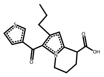 CCCc1cc2n(c1C(=O)c1ccsc1)CCCC2C(=O)O